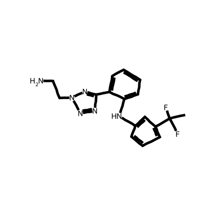 CC(F)(F)c1cccc(Nc2ccccc2-c2nnn(CCN)n2)c1